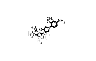 COc1cc(N)ccc1N1CCC(O[Si](C(C)C)(C(C)C)C(C)C)C1